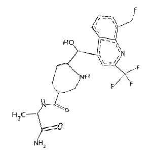 CC(NC(=O)C1CCC(C(O)c2cc(C(F)(F)F)nc3c(CF)cccc23)NC1)C(N)=O